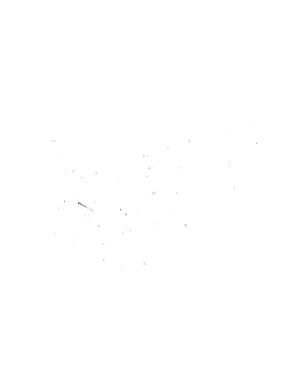 Cc1cccc2c1-c1cc3c(cc1C2(C)C)-c1c(C)cc(N(c2ccc(-c4ccccc4)cc2)c2ccccc2-c2ccccc2)cc1C3(C)C